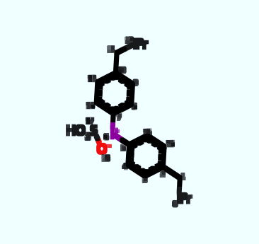 CC(C)Cc1ccc([I+]c2ccc(CC(C)C)cc2)cc1.O=S(=O)([O-])O